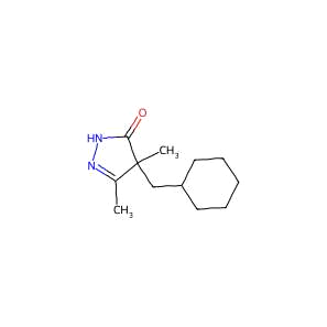 CC1=NNC(=O)C1(C)CC1CCCCC1